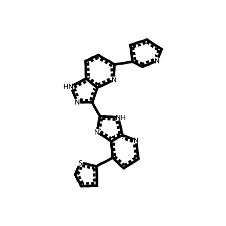 c1cncc(-c2ccc3[nH]nc(-c4nc5c(-c6cccs6)ccnc5[nH]4)c3n2)c1